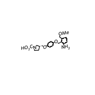 COCc1cccc(N)c1COc1ccc(OC[C@@H]2CCN(C(=O)O)C2)cc1